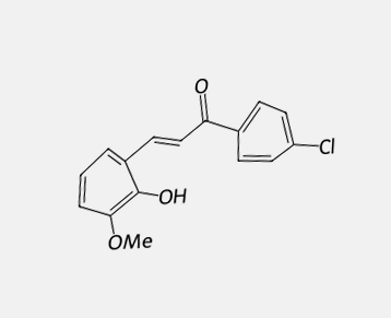 COc1cccc(C=CC(=O)c2ccc(Cl)cc2)c1O